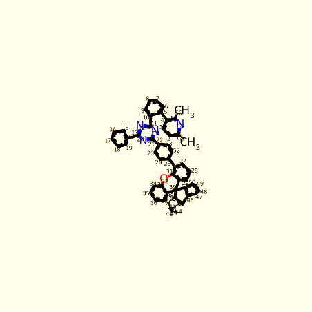 Cc1ccc(-c2ccccc2-c2nc(-c3ccccc3)nc(-c3ccc(-c4cccc5c4Oc4ccccc4C54c5ccccc5-c5ccccc54)cc3)n2)c(C)n1